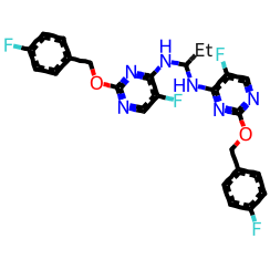 CCC(Nc1nc(OCc2ccc(F)cc2)ncc1F)Nc1nc(OCc2ccc(F)cc2)ncc1F